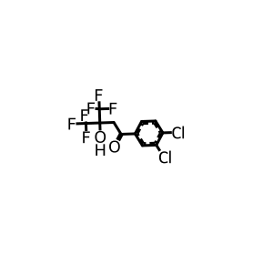 O=C(CC(O)(C(F)(F)F)C(F)(F)F)c1ccc(Cl)c(Cl)c1